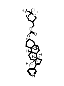 CC1(C)OCC(COC(=O)O[C@H]2CC[C@@]3(C)C(=CC[C@@H]4[C@@H]3CC[C@]3(C)C(c5cccnc5)=CC[C@@H]43)C2)CO1